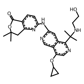 CC1(C)Cc2nc(Nc3cc4c(C(C)(C)NCCO)ncc(OC5CC5)c4cn3)ccc2C(=O)O1